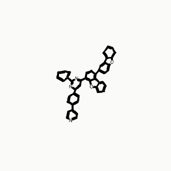 c1ccc(-c2nc(-c3ccc(-c4ccncc4)cc3)cc(-c3ccc(-c4ccc5oc6ccccc6c5c4)c4c3oc3ccccc34)n2)cc1